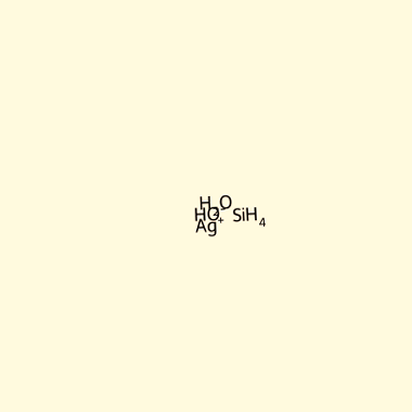 O.[Ag+].[OH-].[SiH4]